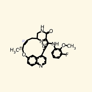 COc1c(F)cccc1Nc1c2nn3c1C(=O)NCC3C/C=C\[C@@H](C)Oc1ccc3nccc-2c3c1